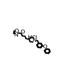 Cl.O=C(CCCC1CCN(Cc2cccc(Oc3ccccc3)c2)CC1)c1ncco1